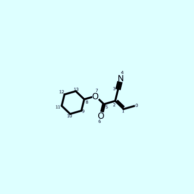 CC=C(C#N)C(=O)OC1CCCCC1